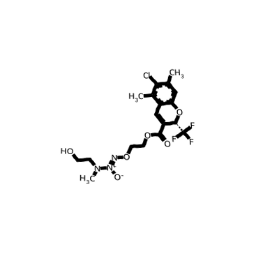 Cc1cc2c(c(C)c1Cl)C=C(C(=O)OCCO/N=[N+](\[O-])N(C)CCO)[C@@H](C(F)(F)F)O2